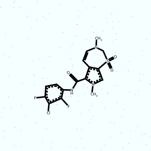 CN1C=Cc2c(cn(C)c2C(=O)Nc2ccc(F)c(Cl)c2F)S(=O)(=O)C1